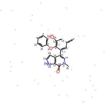 C=C/C=C(\C(Oc1ccccc1)=C(/C)O)c1cn(C)c(=O)c2[nH]ccc12